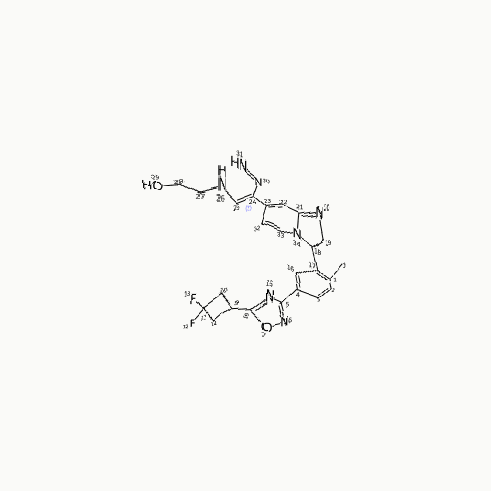 Cc1ccc(-c2noc(C3CC(F)(F)C3)n2)cc1C1CN=C2C=C(/C(=C/NCCO)N=N)C=CN21